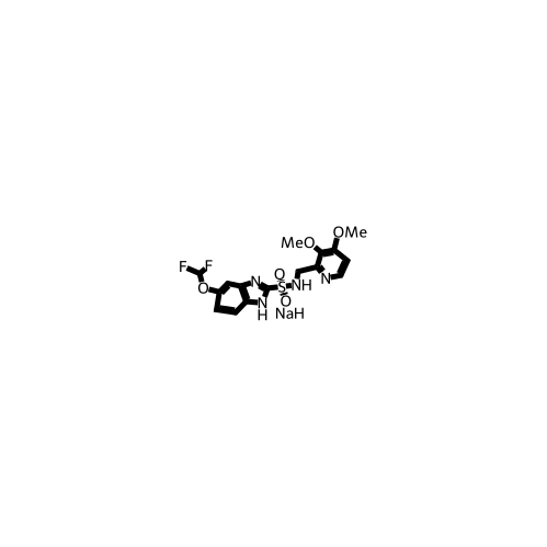 COc1ccnc(CNS(=O)(=O)c2nc3cc(OC(F)F)ccc3[nH]2)c1OC.[NaH]